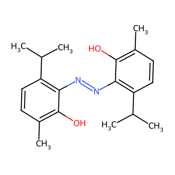 Cc1ccc(C(C)C)c(N=Nc2c(C(C)C)ccc(C)c2O)c1O